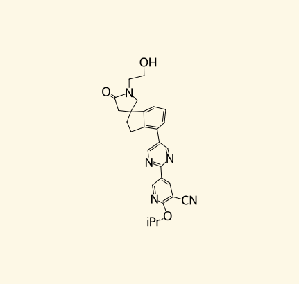 CC(C)Oc1ncc(-c2ncc(-c3cccc4c3CCC43CC(=O)N(CCO)C3)cn2)cc1C#N